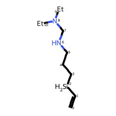 C=C[SiH2]CCCNCN(CC)CC